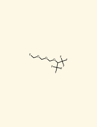 FCOCOCOC(C(F)(F)F)C(F)(F)F